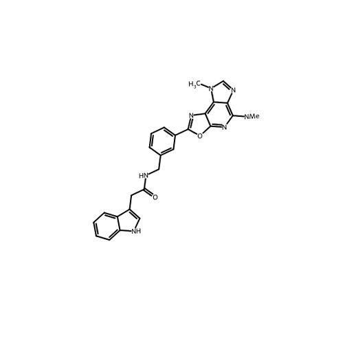 CNc1nc2oc(-c3cccc(CNC(=O)Cc4c[nH]c5ccccc45)c3)nc2c2c1ncn2C